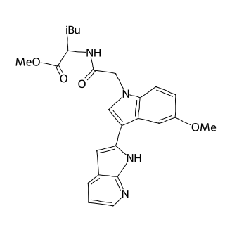 CCC(C)C(NC(=O)Cn1cc(-c2cc3cccnc3[nH]2)c2cc(OC)ccc21)C(=O)OC